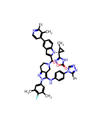 CCc1nccc(-c2ccc3c(c2)cc(C(=O)N2CCc4nn(-c5cc(C)c(F)c(C)c5)c(Nc5ccc(-n6cnnc6C(C)C)cc5)c4C2)n3[C@@]2(c3noc(=O)[nH]3)C[C@@H]2C)c1C